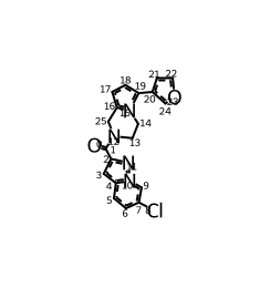 O=C(c1cc2ccc(Cl)cn2n1)N1CCn2c(ccc2-c2ccoc2)C1